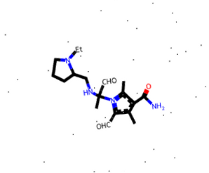 CCN1CCCC1CNC(C)(C=O)n1c(C)c(C(N)=O)c(C)c1C=O